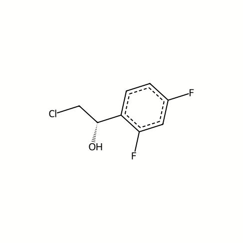 O[C@H](CCl)c1ccc(F)cc1F